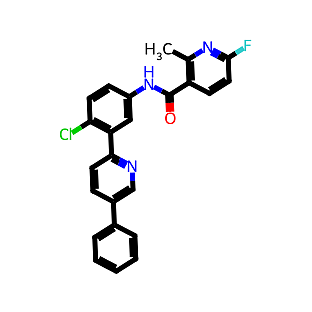 Cc1nc(F)ccc1C(=O)Nc1ccc(Cl)c(-c2ccc(-c3ccccc3)cn2)c1